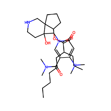 CCCCCCC(CCC)C(=O)OC1CCCC12CNCCC2(O)Cn1cc(C(=O)N(C)C)c(N(C)C)cc1=O